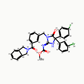 CC(C)(C)OC(=O)/N=C1\NC(c2ccc(F)cc2)(c2cccc(Br)c2)C(=O)N1Cc1cccc(C(=O)N2Cc3ccccc3C2)c1